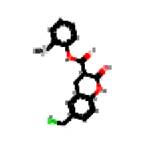 O=C(O)c1ccccc1OC(=O)C1Cc2cc(CCl)ccc2OC1=O